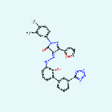 Cc1ccc(N2N=C(c3ccco3)/C(=N/Nc3cccc(-c4cccc(-c5nnn[nH]5)c4)c3O)C2=O)cc1C